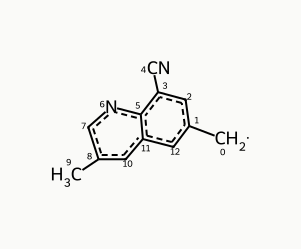 [CH2]c1cc(C#N)c2ncc(C)cc2c1